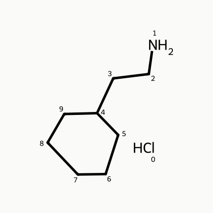 Cl.NCCC1CCCCC1